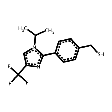 CC(C)n1cc(C(F)(F)F)nc1-c1ccc(CS)cc1